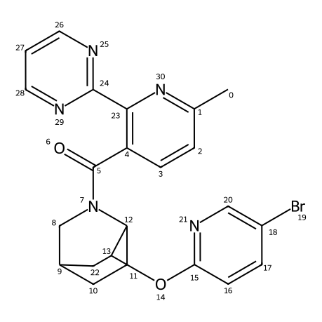 Cc1ccc(C(=O)N2CC3CCC2C(Oc2ccc(Br)cn2)C3)c(-c2ncccn2)n1